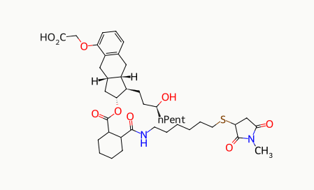 CCCCC[C@H](O)CC[C@@H]1[C@H]2Cc3cccc(OCC(=O)O)c3C[C@H]2C[C@H]1OC(=O)C1CCCCC1C(=O)NCCCCCCSC1CC(=O)N(C)C1=O